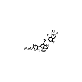 COc1ncc(-c2cc(C3C[C@@H]3c3cc(F)c4cnn(CC(F)(F)F)c4c3F)c3nccn3n2)c(OC)n1